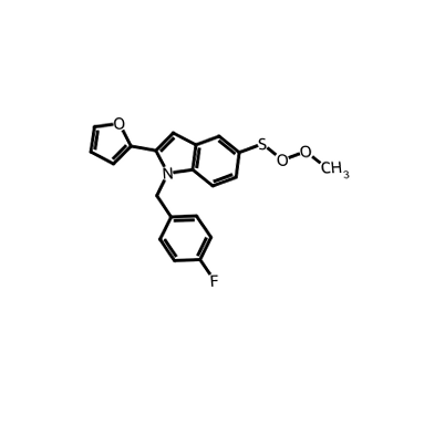 COOSc1ccc2c(c1)cc(-c1ccco1)n2Cc1ccc(F)cc1